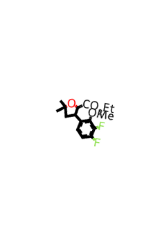 CCOC(=O)C1OC(C)(C)CC1c1ccc(F)c(F)c1OC